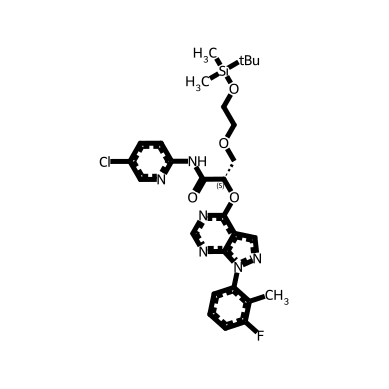 Cc1c(F)cccc1-n1ncc2c(O[C@@H](COCCO[Si](C)(C)C(C)(C)C)C(=O)Nc3ccc(Cl)cn3)ncnc21